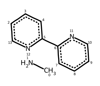 CN.c1ccc(-c2ccccn2)nc1